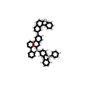 c1ccc(-c2ccccc2N(c2ccc3cc(-c4ccc5ccc6oc7ccccc7c6c5c4)ccc3c2)c2ccc3c(c2)c2ccccc2n3-c2ccccc2)cc1